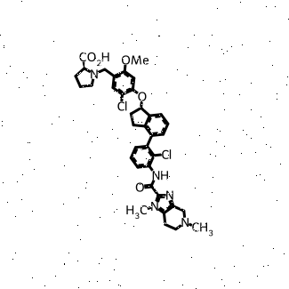 COc1cc(OC2CCc3c(-c4cccc(NC(=O)c5nc6c(n5C)CCN(C)C6)c4Cl)cccc32)c(Cl)cc1CN1CCC[C@H]1C(=O)O